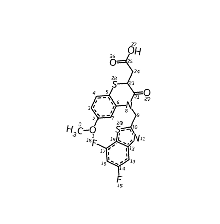 COc1ccc2c(c1)N(Cc1nc3cc(F)cc(F)c3s1)C(=O)C(CC(=O)O)S2